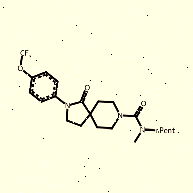 CCCCCN(C)C(=O)N1CCC2(CC1)CCN(c1ccc(OC(F)(F)F)cc1)C2=O